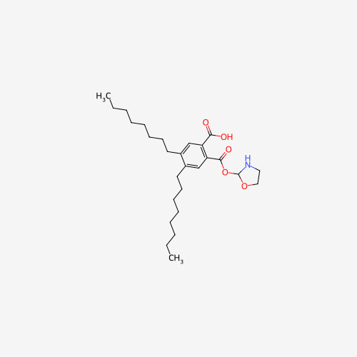 CCCCCCCCc1cc(C(=O)O)c(C(=O)OC2NCCO2)cc1CCCCCCCC